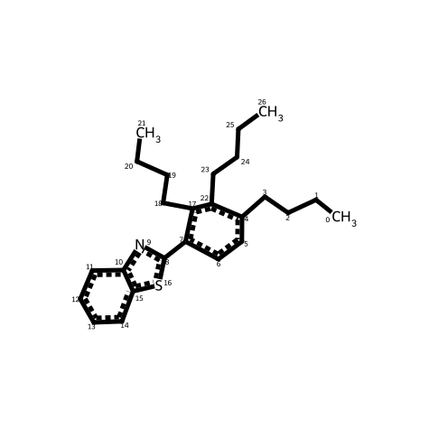 CCCCc1ccc(-c2nc3ccccc3s2)c(CCCC)c1CCCC